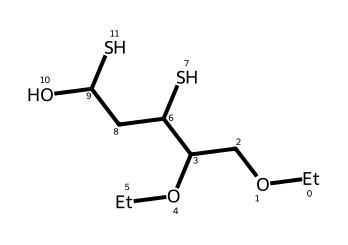 CCOCC(OCC)C(S)CC(O)S